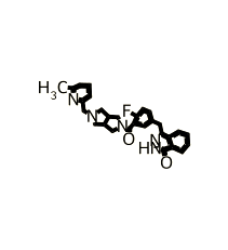 Cc1cccc(CN2CC3CN(C(=O)c4cc(Cc5n[nH]c(=O)c6ccccc56)ccc4F)CC3C2)n1